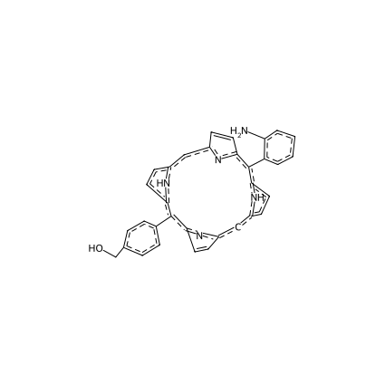 Nc1ccccc1-c1c2nc(cc3ccc([nH]3)c(-c3ccc(CO)cc3)c3nc(cc4ccc1[nH]4)C=C3)C=C2